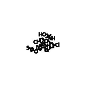 CC(C)(CO)NC(=O)c1cc(Cl)cc(Br)c1NC(=O)c1cc(OC2CC(=S)C2)nn1-c1ncccc1Cl